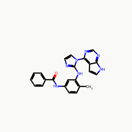 Cc1ccc(NC(=O)c2ccccc2)cc1Nc1nccn1-c1ncnc2[nH]ccc12